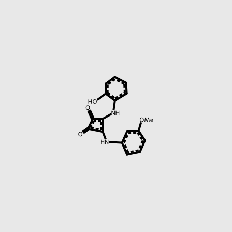 COc1cccc(Nc2c(Nc3ccccc3O)c(=O)c2=O)c1